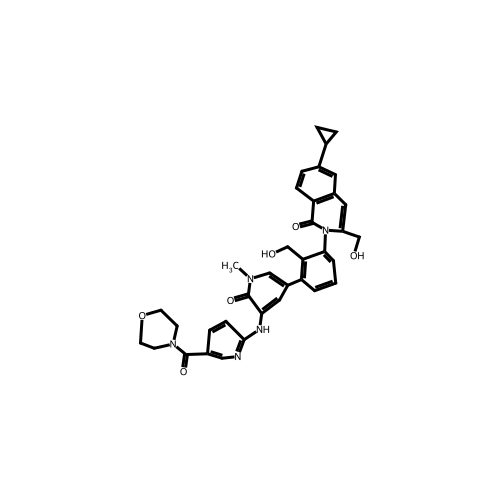 Cn1cc(-c2cccc(-n3c(CO)cc4cc(C5CC5)ccc4c3=O)c2CO)cc(Nc2ccc(C(=O)N3CCOCC3)cn2)c1=O